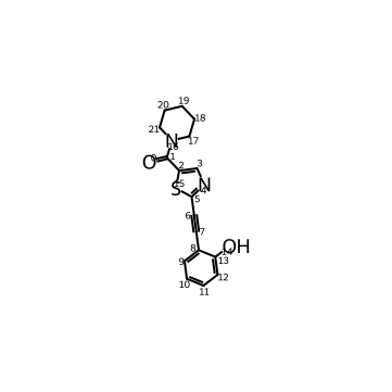 O=C(c1cnc(C#Cc2ccccc2O)s1)N1CCCCC1